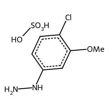 COc1cc(NN)ccc1Cl.O=S(=O)(O)O